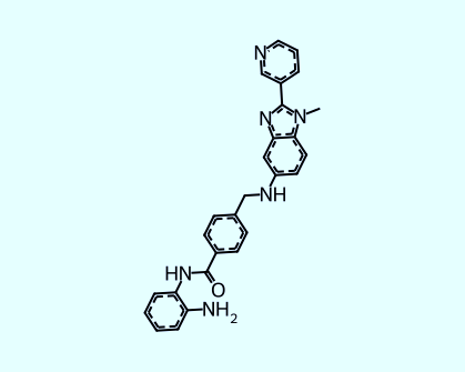 Cn1c(-c2cccnc2)nc2cc(NCc3ccc(C(=O)Nc4ccccc4N)cc3)ccc21